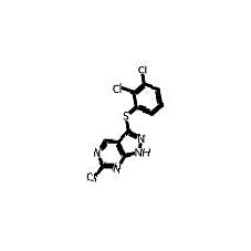 Clc1ncc2c(Sc3cccc(Cl)c3Cl)n[nH]c2n1